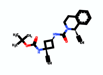 C#C[C@H]1c2ccccc2CCN1C(=O)N[C@H]1C[C@@](C#C)(NC(=O)OC(C)(C)C)C1